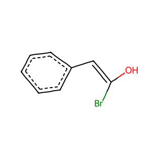 OC(Br)=Cc1ccccc1